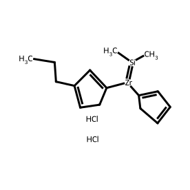 CCCC1=CC[C]([Zr]([C]2=CC=CC2)=[Si](C)C)=C1.Cl.Cl